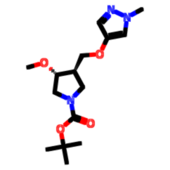 CO[C@H]1CN(C(=O)OC(C)(C)C)C[C@@H]1COc1cnn(C)c1